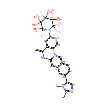 BC1(B)N(c2cc(C(=C)Nc3cc4cc(-c5cnc(C)n5C)ccc4cn3)ccn2)C(B)(O)C(O)(O)C(B)(O)C1(B)O